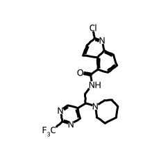 O=C(NCC(c1cnc(C(F)(F)F)nc1)N1CCCCCC1)c1cccc2nc(Cl)ccc12